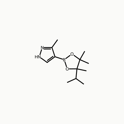 Cc1n[nH]cc1B1OC(C)(C)C(C)(C(C)C)O1